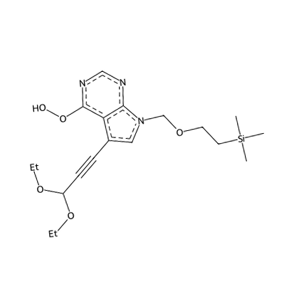 CCOC(C#Cc1cn(COCC[Si](C)(C)C)c2ncnc(OO)c12)OCC